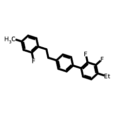 CCc1ccc(-c2ccc(CCc3ccc(C)cc3F)cc2)c(F)c1F